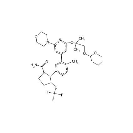 Cc1ccc(C2C(OC(F)(F)F)CCN2C(N)=O)cc1-c1cc(OC(C)(C)COC2CCCCO2)nc(N2CCOCC2)c1